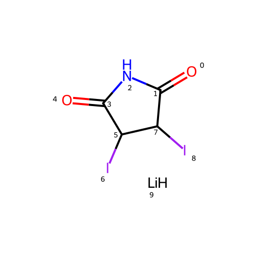 O=C1NC(=O)C(I)C1I.[LiH]